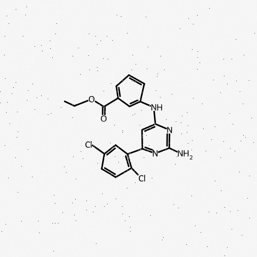 CCOC(=O)c1cccc(Nc2cc(-c3cc(Cl)ccc3Cl)nc(N)n2)c1